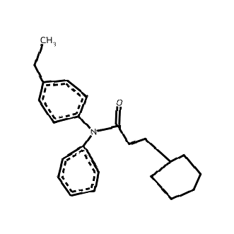 CCc1ccc(N(C(=O)CCC2CCCCC2)c2ccccc2)cc1